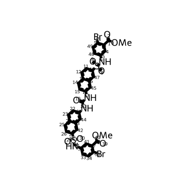 COC(=O)c1cc(NS(=O)(=O)c2ccc3ccc(NC(=O)Nc4ccc5ccc(S(=O)(=O)Nc6ccc(Br)c(C(=O)OC)c6)cc5c4)cc3c2)ccc1Br